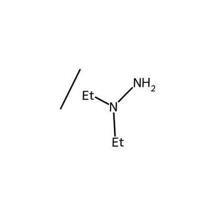 CC.CCN(N)CC